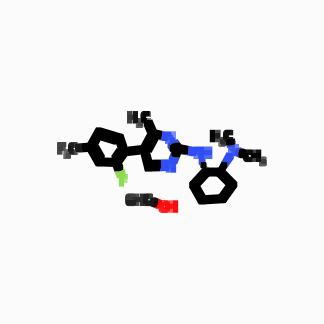 Cc1nc(N[C@H]2CCCC[C@@H]2N(C)C)ncc1-c1ccc(C(F)(F)F)cc1F.O=CO